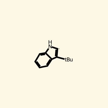 CC(C)(C)c1[c][nH]c2ccccc12